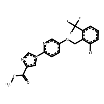 COC(=O)c1cn(-c2ccc(OCc3c(Cl)cccc3C(F)(F)F)cn2)cn1